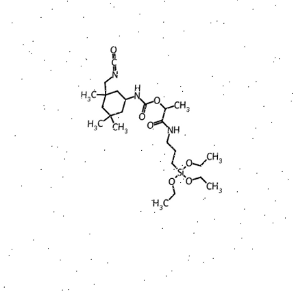 CCO[Si](CCCNC(=O)C(C)OC(=O)NC1CC(C)(C)CC(C)(CN=C=O)C1)(OCC)OCC